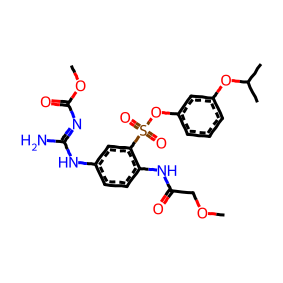 COCC(=O)Nc1ccc(NC(N)=NC(=O)OC)cc1S(=O)(=O)Oc1cccc(OC(C)C)c1